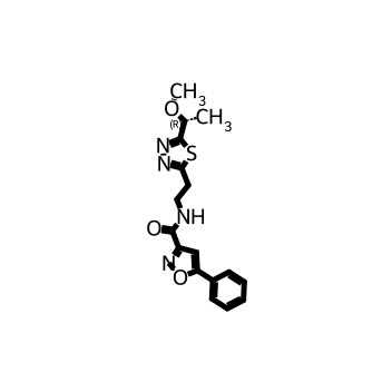 CO[C@H](C)c1nnc(CCNC(=O)c2cc(-c3ccccc3)on2)s1